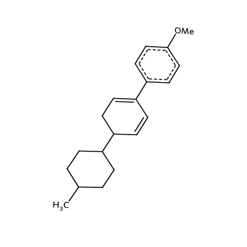 COc1ccc(C2=CCC(C3CCC(C)CC3)C=C2)cc1